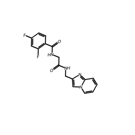 O=C(CNC(=O)c1ccc(F)cc1F)NCc1cn2ccccc2n1